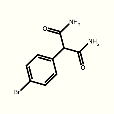 NC(=O)C(C(N)=O)c1ccc(Br)cc1